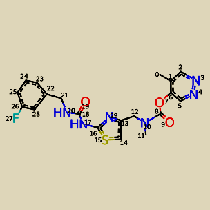 Cc1cnncc1OC(=O)N(C)Cc1csc(NC(=O)NCc2cccc(F)c2)n1